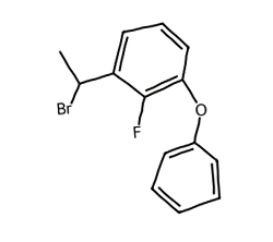 CC(Br)c1cccc(Oc2ccccc2)c1F